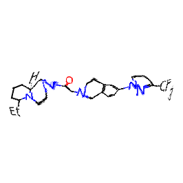 CCC1CCC[C@H]2CN(C(=O)CN3CCc4cc(-n5ccc(C(F)(F)F)n5)ccc4C3)CCN12